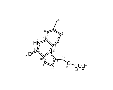 Cc1ccc2c(c1)[nH]c(=O)c1ccc(CCC(=O)O)n12